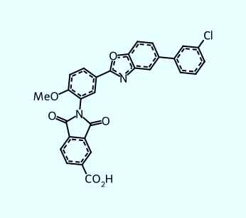 COc1ccc(-c2nc3cc(-c4cccc(Cl)c4)ccc3o2)cc1N1C(=O)c2ccc(C(=O)O)cc2C1=O